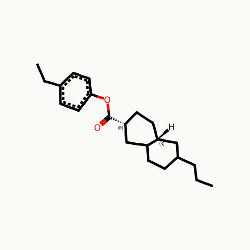 CCCC1CCC2C[C@H](C(=O)Oc3ccc(CC)cc3)CC[C@@H]2C1